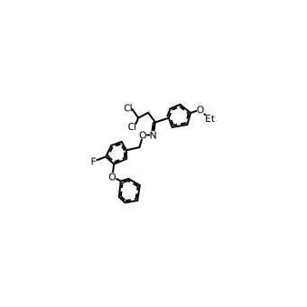 CCOc1ccc(C(CC(Cl)Cl)=NOCc2ccc(F)c(Oc3ccccc3)c2)cc1